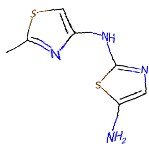 Cc1nc(Nc2ncc(N)s2)cs1